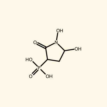 O=C1C(P(=O)(O)O)CC(O)N1O